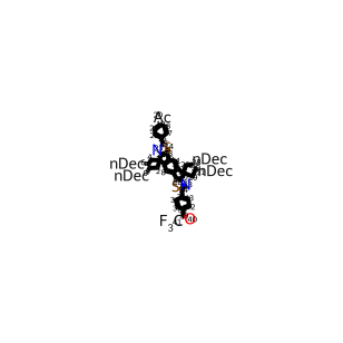 CCCCCCCCCCCCC1(CCCCCCCCCCCC)c2cc3c(cc2-c2sc(-c4ccc(C(C)=O)cc4)nc21)C(CCCCCCCCCCCC)(CCCCCCCCCCCC)c1nc(-c2ccc(C(=O)C(F)(F)F)cc2)sc1-3